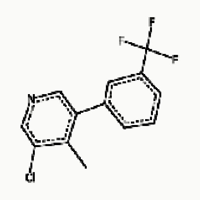 Cc1c(Cl)cncc1-c1cccc(C(F)(F)F)c1